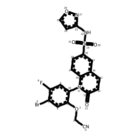 N#CCOc1cc(Br)c(F)cc1-n1c(=O)ccc2cc(S(=O)(=O)Nc3ccon3)ccc21